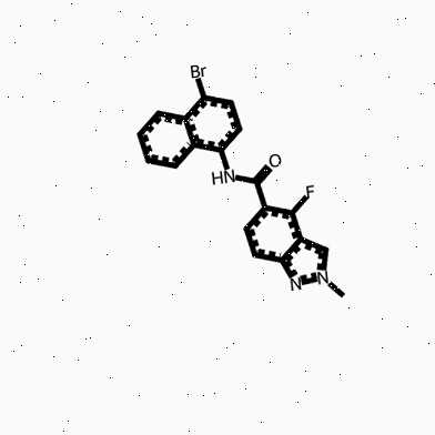 Cn1cc2c(F)c(C(=O)Nc3ccc(Br)c4ccccc34)ccc2n1